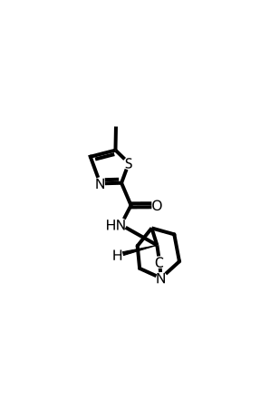 Cc1cnc(C(=O)N[C@H]2CN3CCC2CC3)s1